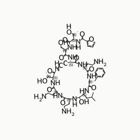 CC(C)C[C@@H]1NC(=O)[C@@H](Cc2ccccc2)NC(=O)[C@H](CCN)NC(=O)[C@@H](NC(=O)[C@@H](CO)NC(=O)[C@@H](NC(=O)c2ccco2)[C@@H](C)O)CCNC(=O)[C@H]([C@@H](C)O)NC(=O)[C@H](CCN)NC(=O)[C@H](CCN)NC1O